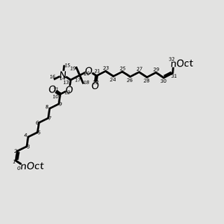 CCCCCCCC/C=C\CCCCCCCC(=O)OC(N(C)C)C(C)(C)OC(=O)CCCCCCC/C=C\CCCCCCCC